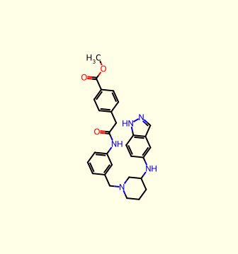 COC(=O)c1ccc(CC(=O)Nc2cccc(CN3CCCC(Nc4ccc5[nH]ncc5c4)C3)c2)cc1